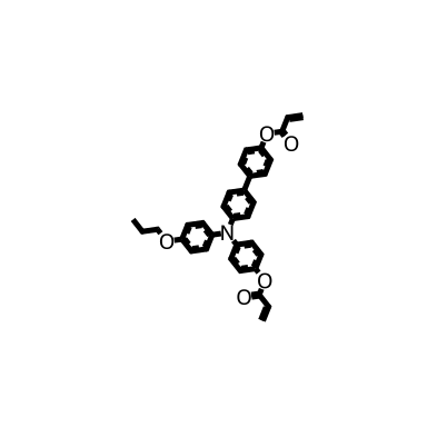 C=CC(=O)Oc1ccc(-c2ccc(N(c3ccc(OCCC)cc3)c3ccc(OC(=O)C=C)cc3)cc2)cc1